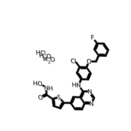 Cl.O.O.O=C(NO)c1ccc(-c2ccc3ncnc(Nc4ccc(OCc5cccc(F)c5)c(Cl)c4)c3c2)s1